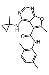 Cc1ccc(C)c(NC(=O)c2c(C)oc3ncnc(NC4(C)CC4)c23)c1